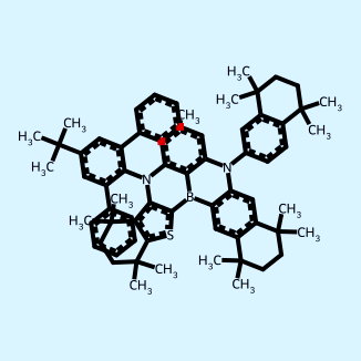 Cc1cc2c3c(c1)N(c1c(-c4ccccc4)cc(C(C)(C)C)cc1-c1ccccc1)c1c(sc4c1C(C)(C)CCC4(C)C)B3c1cc3c(cc1N2c1ccc2c(c1)C(C)(C)CCC2(C)C)C(C)(C)CCC3(C)C